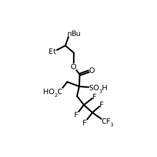 CCCCC(CC)COC(=O)C(CC(=O)O)(CC(F)(F)C(F)(F)C(F)(F)F)S(=O)(=O)O